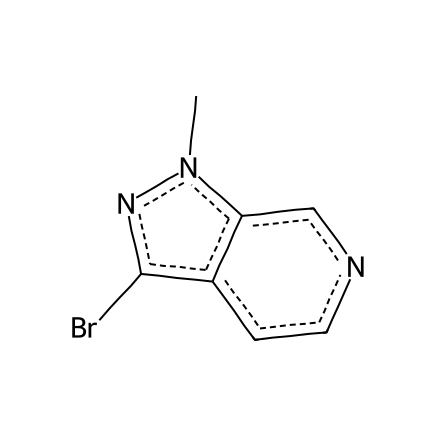 Cn1nc(Br)c2ccncc21